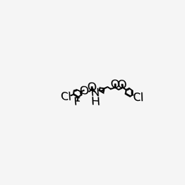 O=C(CCC12CC(NC(=O)COc3ccc(Cl)c(F)c3)(C1)C2)CC(=O)c1ccc(Cl)cc1